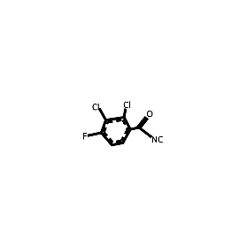 [C-]#[N+]C(=O)c1ccc(F)c(Cl)c1Cl